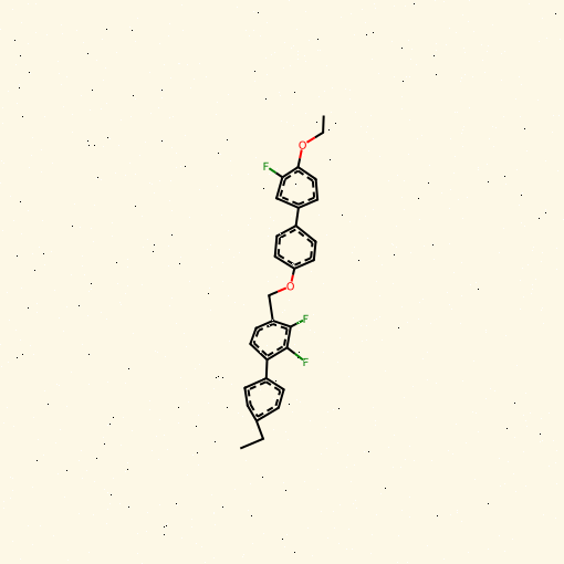 CCOc1ccc(-c2ccc(OCc3ccc(-c4ccc(CC)cc4)c(F)c3F)cc2)cc1F